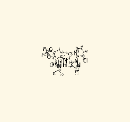 Cc1cc2c(c(C(=O)NC(C)C)c1NC(=O)c1cc(Cl)nn1-c1ncccc1Cl)OC(F)(F)O2